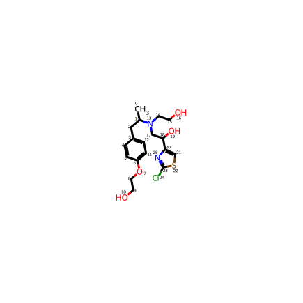 CC(Cc1ccc(OCCO)cc1)N(CCO)CC(O)c1csc(Cl)n1